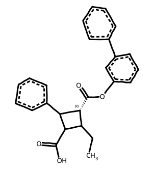 CCC1C(C(=O)O)C(c2ccccc2)[C@@H]1C(=O)Oc1cccc(-c2ccccc2)c1